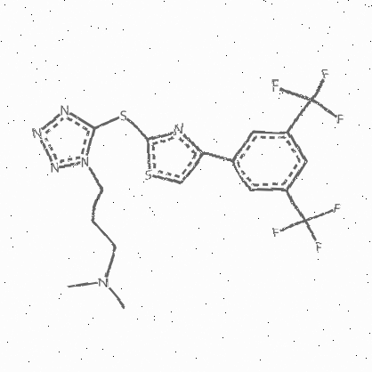 CN(C)CCCn1nnnc1Sc1nc(-c2cc(C(F)(F)F)cc(C(F)(F)F)c2)cs1